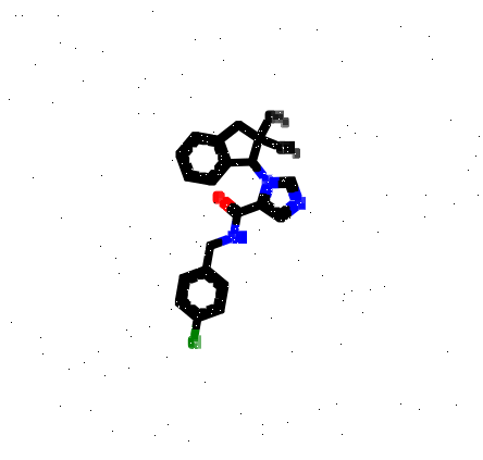 CC1(C)Cc2ccccc2C1n1cncc1C(=O)NCc1ccc(Cl)cc1